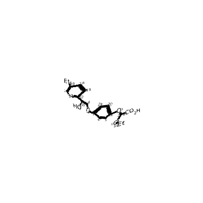 CCOC(Oc1ccc(OC[C@@H](O)c2ccc(CC)cn2)cc1)C(=O)O